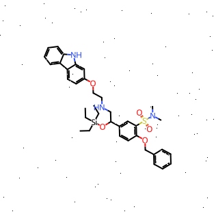 CC[Si](CC)(CC)OC(CNCCOc1ccc2c(c1)[nH]c1ccccc12)c1ccc(OCc2ccccc2)c(S(=O)(=O)N(C)C)c1